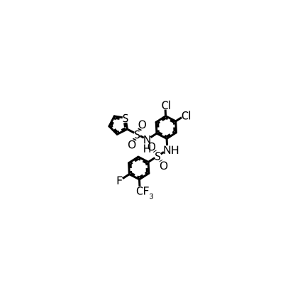 O=S(=O)(Nc1cc(Cl)c(Cl)cc1NS(=O)(=O)c1cccs1)c1ccc(F)c(C(F)(F)F)c1